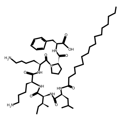 CCCCCCCCCCCCCCCC(=O)N[C@@H](CC(C)C)C(=O)N[C@H](C(=O)N[C@@H](CCCCN)C(=O)N[C@@H](CCCCN)C(=O)N1CCC[C@H]1C(=O)N[C@@H](Cc1ccccc1)C(=O)O)[C@@H](C)CC